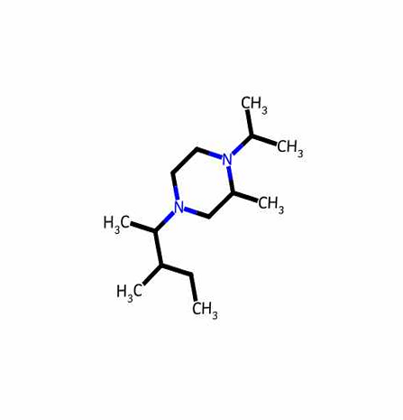 CCC(C)C(C)N1CCN(C(C)C)C(C)C1